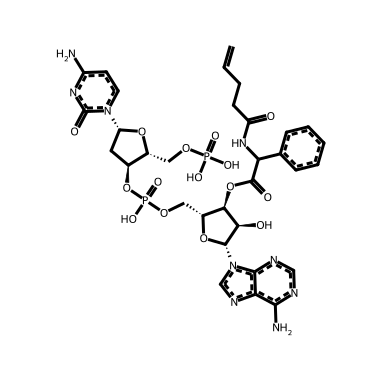 C=CCCC(=O)NC(C(=O)O[C@H]1[C@@H](O)[C@H](n2cnc3c(N)ncnc32)O[C@@H]1COP(=O)(O)O[C@H]1C[C@H](n2ccc(N)nc2=O)O[C@@H]1COP(=O)(O)O)c1ccccc1